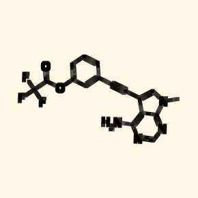 Cn1cc(C#Cc2cccc(OC(=O)C(F)(F)F)c2)c2c(N)ncnc21